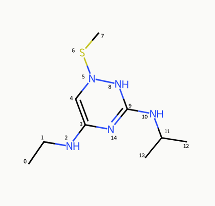 CCNC1=CN(SC)NC(NC(C)C)=N1